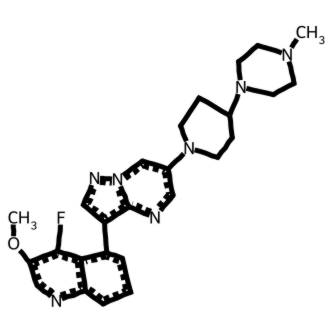 COc1cnc2cccc(-c3cnn4cc(N5CCC(N6CCN(C)CC6)CC5)cnc34)c2c1F